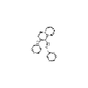 Clc1ccc2ccccc2c1OP(c1ccccc1)c1ccccc1